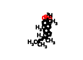 [3H]OC(=O)[C@]1(C)[C@@H](O)CC[C@]2(C)C3=C(CC[C@@H]12)C1CCC([C@H](C)CCC=C(C)C)[C@@]1(C)CC3